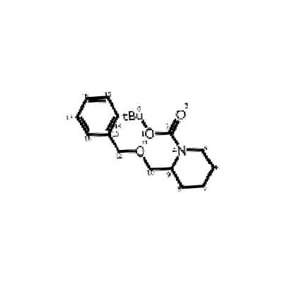 CC(C)(C)OC(=O)N1CCCCC1COCc1ccccc1